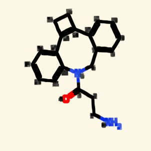 NCCC(=O)N1Cc2ccccc2C2=C(CC2)c2ccccc21